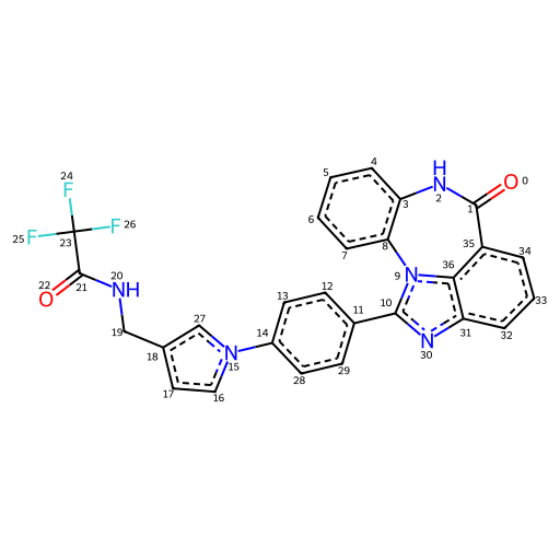 O=C1Nc2ccccc2-n2c(-c3ccc(-n4ccc(CNC(=O)C(F)(F)F)c4)cc3)nc3cccc1c32